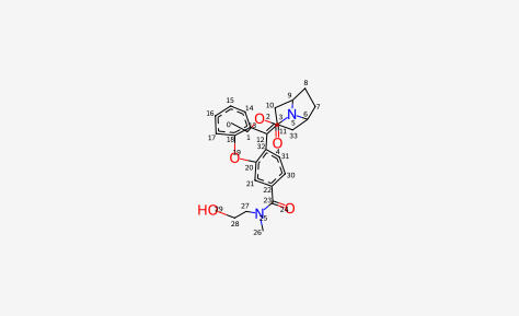 CCOC(=O)N1C2CCC1CC(=C1c3ccccc3Oc3cc(C(=O)N(C)CCO)ccc31)C2